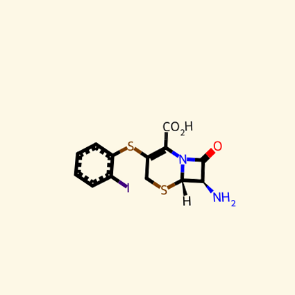 N[C@@H]1C(=O)N2C(C(=O)O)=C(Sc3ccccc3I)CS[C@@H]12